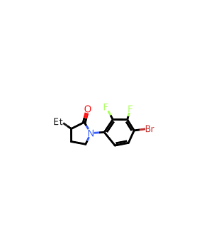 CCC1CCN(c2ccc(Br)c(F)c2F)C1=O